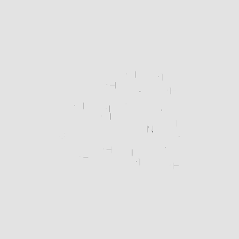 [2H]C([2H])([2H])N1C([2H])([2H])C([2H])([2H])C([2H])([2H])C1([2H])C([2H])([2H])C([2H])([2H])O